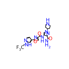 NC(=O)c1nn(C2CCNCC2)cc1NC(=O)c1coc(-c2ccnc(NCC(F)(F)F)c2)n1